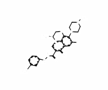 C[C@H]1COc2c(N3CCN(C)CC3)c(F)cc3c(=O)c(C(=O)NNc4cccc([N+](=O)[O-])c4)cn1c23